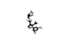 COc1cc(Br)cc(-n2ncc(C(=O)OCc3cn(C)nn3)c2C2CC2)c1